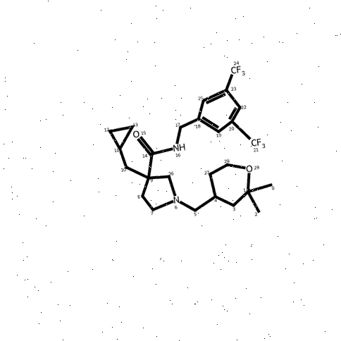 CC1(C)CC(CN2CCC(CC3CC3)(C(=O)NCc3cc(C(F)(F)F)cc(C(F)(F)F)c3)C2)CCO1